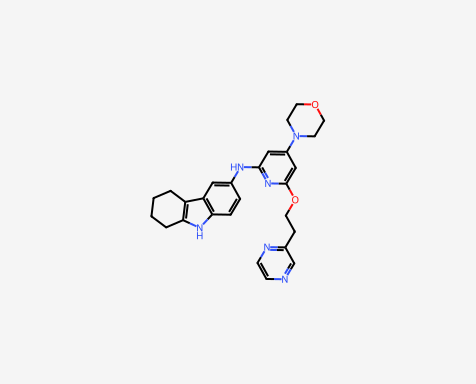 c1cnc(CCOc2cc(N3CCOCC3)cc(Nc3ccc4[nH]c5c(c4c3)CCCC5)n2)cn1